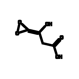 O=C(O)CC(O)=C1OO1